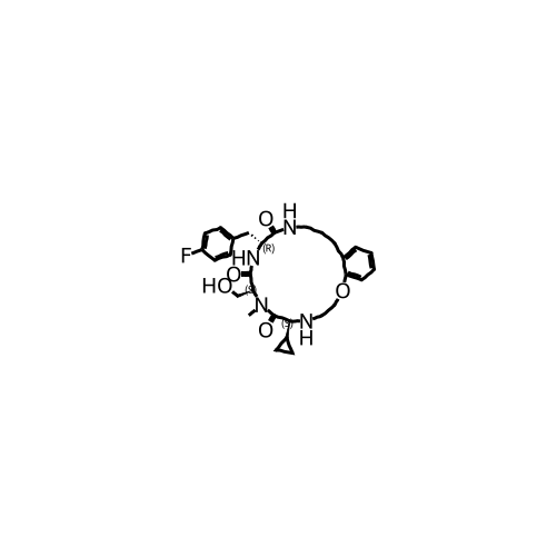 CN1C(=O)[C@H](C2CC2)NCCOc2ccccc2CCCNC(=O)[C@@H](Cc2ccc(F)cc2)NC(=O)[C@@H]1CO